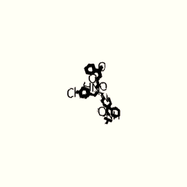 CC(C)(C)NC(=O)C1(C2CCCCC2)CCN(C[C@@H](Cc2ccc(Cl)cc2)NC(=O)c2cc(=O)c3ccccc3o2)CC1